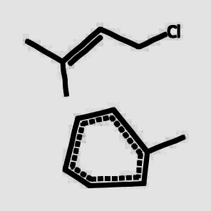 CC(C)=CCCl.Cc1ccccc1